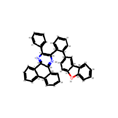 c1ccc(-c2nc3c4ccccc4c4ccccc4c3nc2-c2ccccc2-c2ccc3oc4ccccc4c3c2)cc1